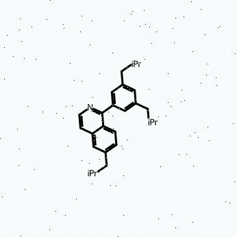 CC(C)Cc1cc(CC(C)C)cc(-c2nccc3cc(CC(C)C)ccc23)c1